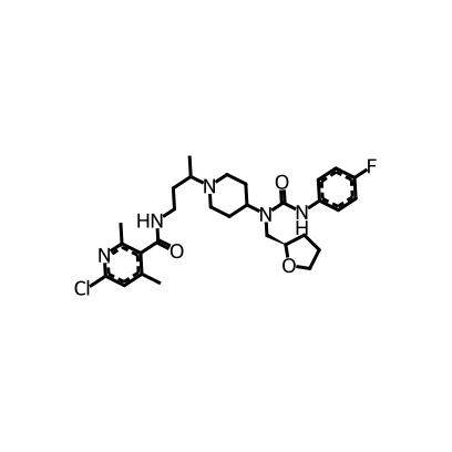 Cc1cc(Cl)nc(C)c1C(=O)NCCC(C)N1CCC(N(C[C@H]2CCCO2)C(=O)Nc2ccc(F)cc2)CC1